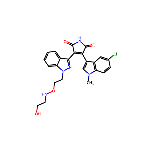 Cn1cc(C2=C(c3nn(CCONCCO)c4ccccc34)C(=O)NC2=O)c2cc(Cl)ccc21